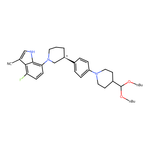 CCCCOC(OCCCC)C1CCN(c2ccc([C@@H]3CCCN(c4ccc(F)c5c(C#N)c[nH]c45)C3)cc2)CC1